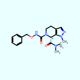 CN(C)C(=O)[C@H]1c2c(cnn2C)CCN1C(=O)NOCc1ccccc1